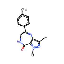 CCn1nc(C(C)C)c2c1C(=O)NCC(c1ccc(C)cc1)=N2